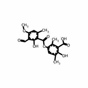 COc1cc(C)c(C(=O)Oc2cc(C)c(O)c(C(=O)O)c2C)c(O)c1C=O